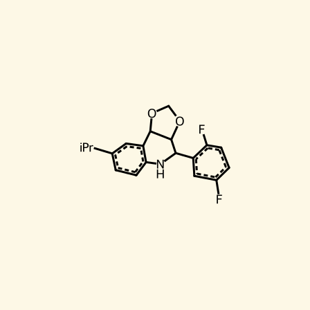 CC(C)c1ccc2c(c1)C1OCOC1C(c1cc(F)ccc1F)N2